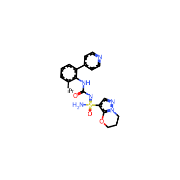 CC(C)c1cccc(-c2ccncc2)c1NC(=O)N=S(N)(=O)c1cnn2c1OCCC2